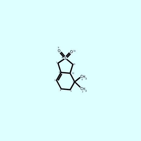 CC1(C)CCC=C2CS(=O)(=O)CC21